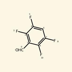 O=[C]c1c(F)c(F)cc(F)c1F